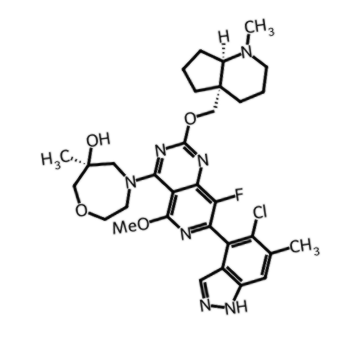 COc1nc(-c2c(Cl)c(C)cc3[nH]ncc23)c(F)c2nc(OC[C@]34CCC[C@H]3N(C)CCC4)nc(N3CCOC[C@@](C)(O)C3)c12